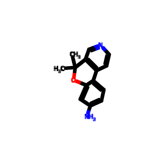 CC1(C)Oc2cc(N)ccc2-c2ccncc21